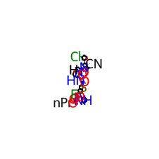 CCCOC(=O)[C@H](C)NP(=O)(Oc1ccccc1)[C@@H](F)c1ccc2sc(C(=O)NCC3CCCC[C@H]4CC[C@@H](C(=O)N5C[C@@H](c6cccc(Cl)c6)[C@H](C#N)C56CC6)N4C3=O)cc2c1